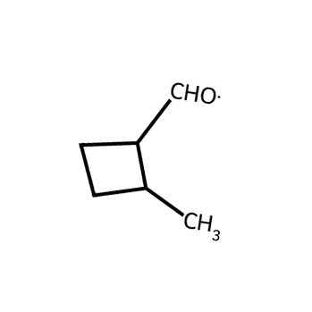 CC1CCC1[C]=O